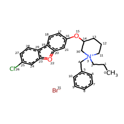 CCC[N+]1(Cc2ccccc2)CCCC(Oc2ccc3c(c2)oc2cc(Cl)ccc23)C1.[Br-]